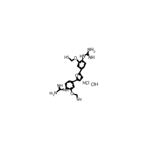 Cl.Cl.N=C(N)Nc1ccc(-c2ccc(-c3ccc(NC(=N)N)c(OCS)c3)o2)cc1OCS